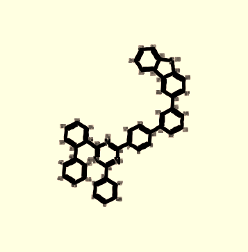 c1ccc(-c2nc(-c3ccc(-c4cccc(-c5ccc6sc7ccccc7c6c5)c4)cc3)nc(-c3ccccc3-c3ccccc3)n2)cc1